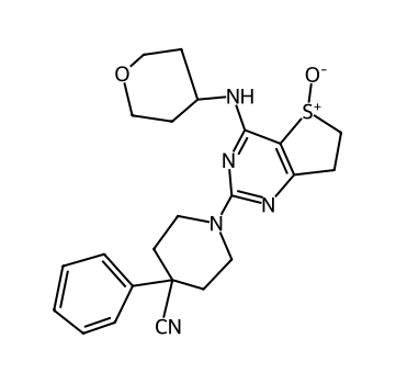 N#CC1(c2ccccc2)CCN(c2nc3c(c(NC4CCOCC4)n2)[S+]([O-])CC3)CC1